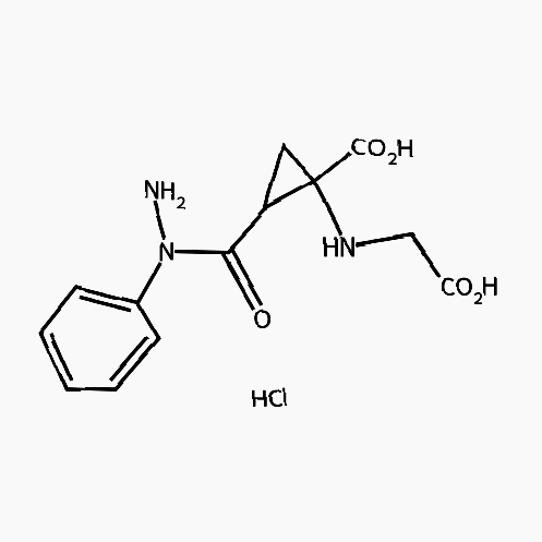 Cl.NN(C(=O)C1CC1(NCC(=O)O)C(=O)O)c1ccccc1